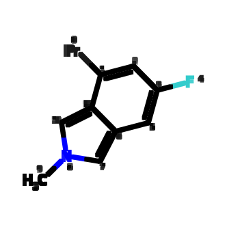 CC(C)c1cc(F)cc2cn(C)cc12